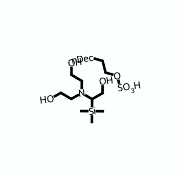 CCCCCCCCCCCCOS(=O)(=O)O.C[Si](C)(C)C(CO)N(CCO)CCO